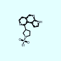 CCS(=O)(=O)N1CCC(c2nccc3cnc4[nH]ccc4c23)C1